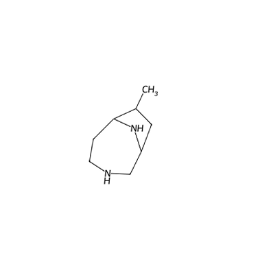 CC1CC2CNCCC1N2